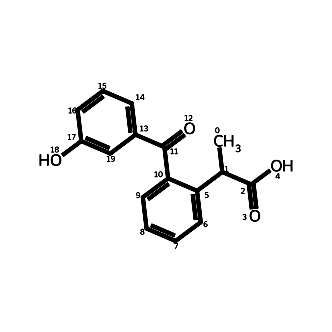 CC(C(=O)O)c1ccccc1C(=O)c1cccc(O)c1